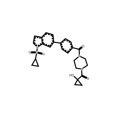 O=C(c1ccc(-c2ccc3ccn(S(=O)(=O)C4CC4)c3c2)cc1)N1CCN(C(=O)C2(O)CC2)CC1